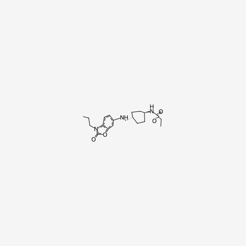 CCCn1c(=O)oc2cc(NC[C@H]3CC[C@H](NS(=O)(=O)CC)CC3)ccc21